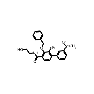 CCCc1c(-c2cccc([S+](C)[O-])c2)ccc(C(=O)NCCO)c1OCc1ccccc1